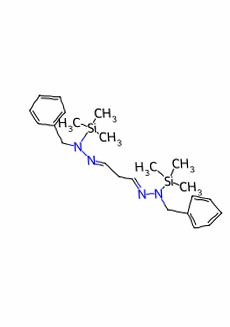 C[Si](C)(C)N(Cc1ccccc1)N=CCC=NN(Cc1ccccc1)[Si](C)(C)C